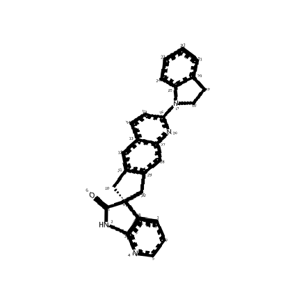 O=C1Nc2ncccc2[C@@]12Cc1cc3ccc(N4CCc5ccccc54)nc3cc1C2